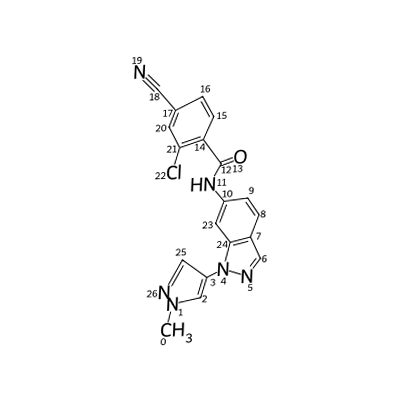 Cn1cc(-n2ncc3ccc(NC(=O)c4ccc(C#N)cc4Cl)cc32)cn1